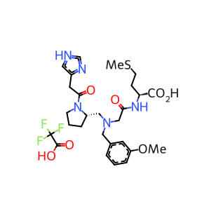 COc1cccc(CN(CC(=O)N[C@@H](CCSC)C(=O)O)C[C@@H]2CCCN2C(=O)Cc2c[nH]cn2)c1.O=C(O)C(F)(F)F